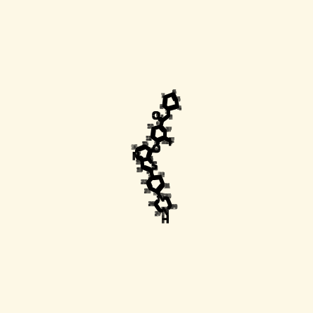 O=C(Cc1ccccc1)c1ccc(Oc2ccnc3cc(-c4ccc(N5CCNCC5)cc4)sc23)c(F)c1